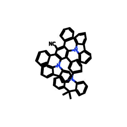 CC1(C)c2ccccc2N(c2cccc(-c3c(-n4c5ccccc5c5ccccc54)c(-c4ccccc4)c(C#N)c(-c4ccccc4)c3-n3c4ccccc4c4ccccc43)c2)c2ccccc21